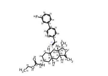 C=C1O[C@H](C)[C@H]2[C@@H](/C=C/c3ccc(-c4cccc(F)c4)cn3)[C@@H]3CC[C@@H](NC(=O)OCC)C[C@H]3C[C@@H]12